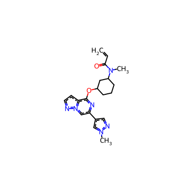 C=CC(=O)N(C)C1CCCC(Oc2nc(-c3cnn(C)c3)cn3nccc23)C1